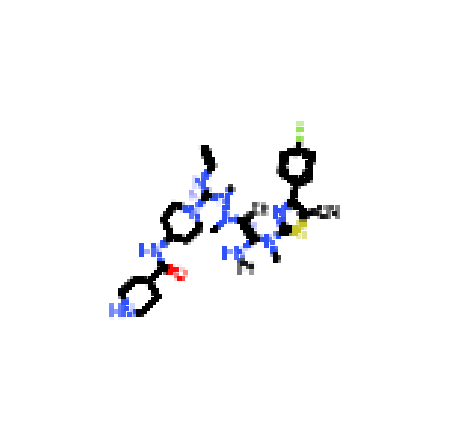 C=C/N=C(/N1CCC(NC(=O)C2CCNCC2)CC1)N(C)N(C)/C(CC)=C(\NCC)N(C)c1nc(-c2ccc(F)cc2)c(C#N)s1